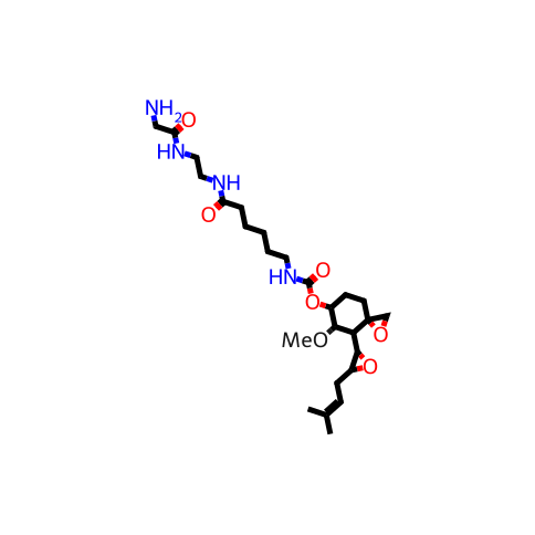 COC1C(OC(=O)NCCCCCC(=O)NCCNC(=O)CN)CCC2(CO2)C1C1OC1CC=C(C)C